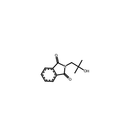 CC(C)(O)CN1C(=O)c2ccccc2C1=O